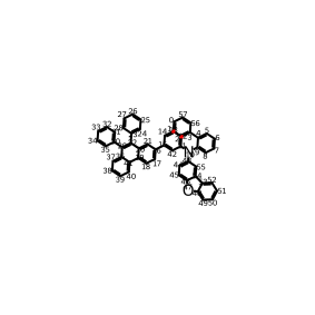 c1ccc(-c2ccccc2N(c2cccc(-c3ccc4c(c3)c(-c3ccccc3)c(-c3ccccc3)c3ccccc34)c2)c2ccc3oc4ccccc4c3c2)cc1